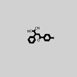 N#CC(C#N)C(CC(=O)c1ccc(I)cc1)c1ccccc1